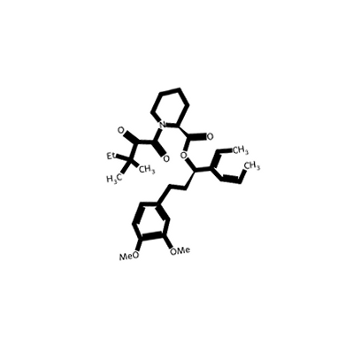 C/C=C\C(=C/C)[C@@H](CCc1ccc(OC)c(OC)c1)OC(=O)[C@@H]1CCCCN1C(=O)C(=O)C(C)(C)CC